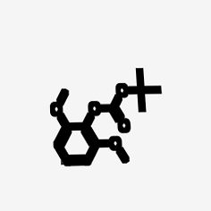 COc1c[c]cc(OC)c1OC(=O)OC(C)(C)C